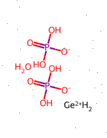 O.O=P([O-])(O)O.O=P([O-])(O)O.[GeH2+2]